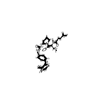 CSC[C@@H](C(=O)N1CCC[C@H]1C(=O)NCc1ccc(-c2scnc2C)cc1)N(C)C(=O)CCC(C)C